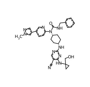 Cn1cc(-c2ccc(N(C(=O)NCc3ccccc3)[C@H]3CC[C@@H](Nc4ncc(C#N)c(NC5(CO)CC5)n4)CC3)nc2)cn1